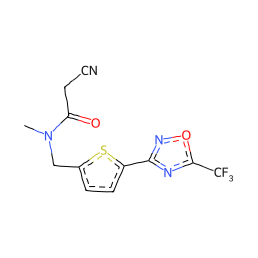 CN(Cc1ccc(-c2noc(C(F)(F)F)n2)s1)C(=O)CC#N